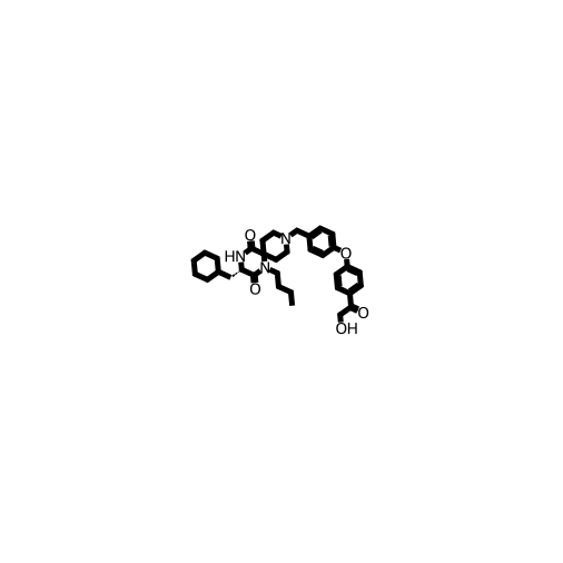 CCCCN1C(=O)[C@H](CC2CCCCC2)NC(=O)C12CCN(Cc1ccc(Oc3ccc(C(=O)CO)cc3)cc1)CC2